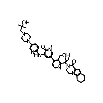 Cn1cc(-c2ccnc(C(=O)N3CCn4c(cc5c4CCCC5)C3=O)c2CO)cc(Nc2ccc(N3CCN(CC(C)(C)O)CC3)cn2)c1=O